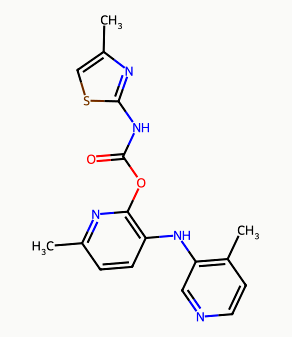 Cc1csc(NC(=O)Oc2nc(C)ccc2Nc2cnccc2C)n1